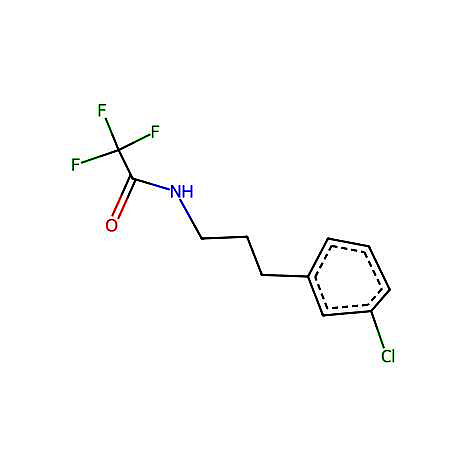 O=C(NCCCc1cccc(Cl)c1)C(F)(F)F